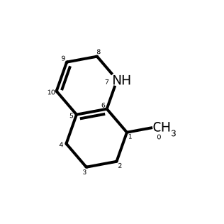 CC1CCCC2=C1NCC=C2